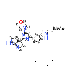 CNCCNCc1cccc(-c2cc(N3CCOCC3)nc(-c3ccnc4[nH]ccc34)n2)c1